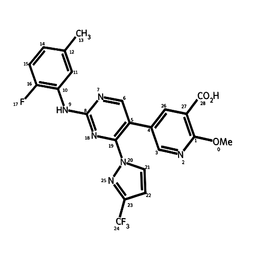 COc1ncc(-c2cnc(Nc3cc(C)ccc3F)nc2-n2ccc(C(F)(F)F)n2)cc1C(=O)O